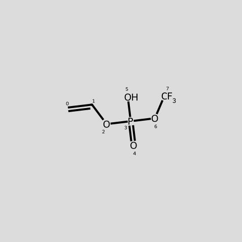 C=COP(=O)(O)OC(F)(F)F